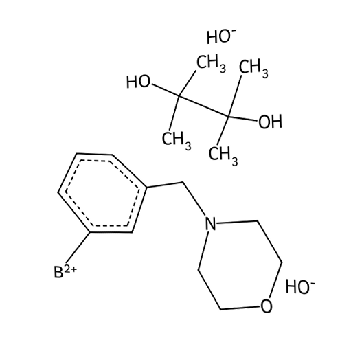 CC(C)(O)C(C)(C)O.[B+2]c1cccc(CN2CCOCC2)c1.[OH-].[OH-]